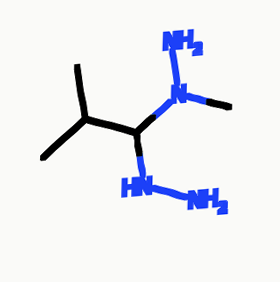 CC(C)C(NN)N(C)N